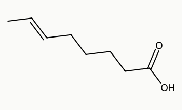 C/C=C/CCCCC(=O)O